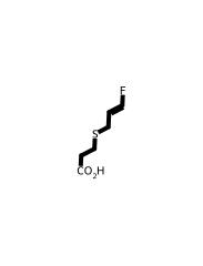 O=C(O)CCSCC=CF